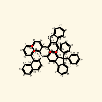 c1ccc(-c2c(N(c3ccc4c(c3)-c3ccccc3C4(c3ccccc3)c3ccccc3)c3ccccc3-c3cccc4c3oc3ccccc34)ccc3ccccc23)cc1